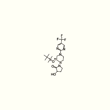 CC(C)(C)[Si](C)(C)O[C@@H]1CN(c2ncc(C(F)(F)F)cn2)CC[C@@H]1N1CCC(O)C1=O